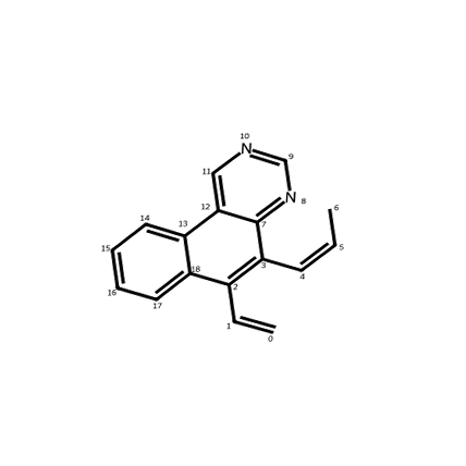 C=Cc1c(/C=C\C)c2ncncc2c2ccccc12